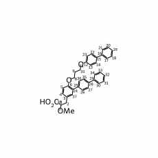 COC(Cc1ccc(OCCCOc2ccc(-c3ccccc3)cc2)c(-c2ccc(-c3ccccc3)cc2)c1)C(=O)O